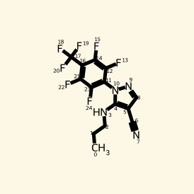 CCCNc1c(C#N)cnn1-c1c(F)c(F)c(C(F)(F)F)c(F)c1F